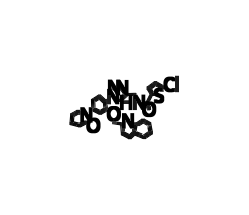 O=C(NCc1cn(-c2ccc(-n3ccccc3=O)cc2OCc2ccc3ccccc3n2)nn1)c1ccc(Cl)s1